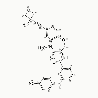 CN1C(=O)[C@H](NC(=O)c2cc(Oc3ccc(C#N)cc3)ccn2)COc2ccc(C#CC3(O)COC3)cc21